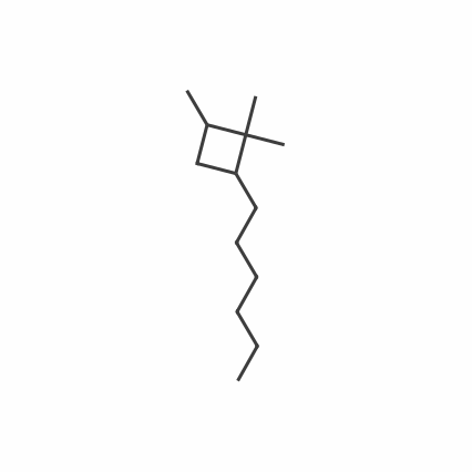 CCCCCCC1CC(C)C1(C)C